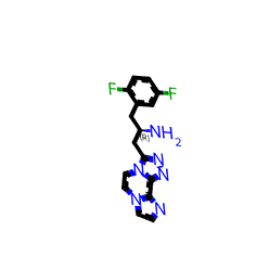 N[C@H](Cc1cc(F)ccc1F)Cc1nnc2c3nccn3ccn12